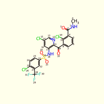 CNC(=O)c1cccc(C(=O)c2ncc(Cl)cc2NS(=O)(=O)c2ccc(Cl)c(C(F)(F)F)c2)c1Cl